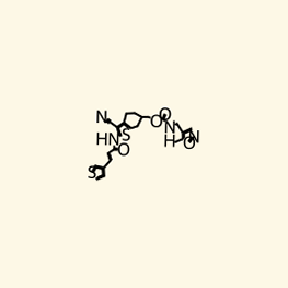 Cc1oncc1CNC(=O)OCC1CCc2c(sc(NC(=O)C=Cc3ccsc3)c2C#N)C1